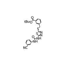 CC(C)(C)OC(=O)c1cccc(CSc2nnc(NC(=O)Nc3cccc(C#N)c3)s2)c1